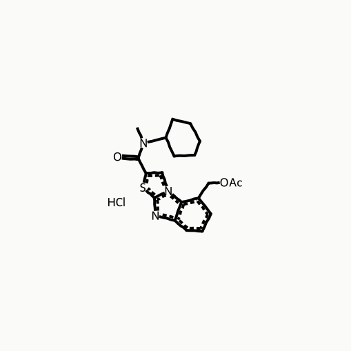 CC(=O)OCc1cccc2nc3sc(C(=O)N(C)C4CCCCC4)cn3c12.Cl